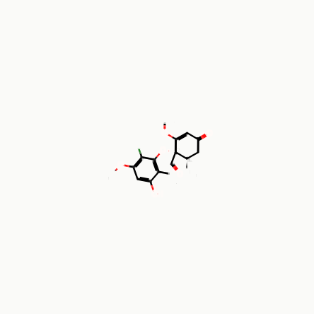 COC1=CC(=O)C[C@@H](C)[C@]1(C=O)Oc1c(C)c(O)cc(OC)c1Cl